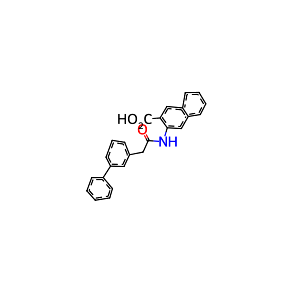 O=C(Cc1cccc(-c2ccccc2)c1)Nc1cc2ccccc2cc1C(=O)O